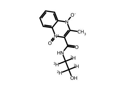 [2H]C([2H])(O)C([2H])([2H])NC(=O)c1c(C)n([O-])c2ccccc2[n+]1=O